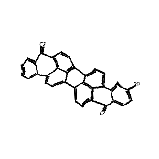 O=C1c2ccccc2-c2ccc3c4ccc5c6c(ccc(c7ccc1c2c37)c64)-c1cc(Br)ccc1C5=O